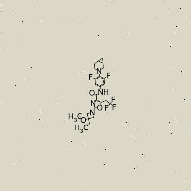 CCC1(OC)CN(c2nc(C(=O)Nc3cc(F)c(N4CCC5CC5C4)c(F)c3)c(CC(F)(F)F)o2)C1